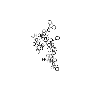 C=CCOC(=O)OC1[C@@H](OCC2O[C@@H](O[C@@H]3C(CC)O[C@@H](O[C@@H]4C(CC)O[C@@H](O)C(NC(=O)OCC(Cl)(Cl)Cl)[C@H]4C)C(C)[C@H]3C)C(OCc3ccccc3)[C@@H](O[C@@H]3OC(CC)[C@H](O)[C@@H](C)C3OC(=O)OCC3c4ccccc4-c4ccccc43)[C@@H]2C)OC(CC)[C@@H](C)[C@@H]1C